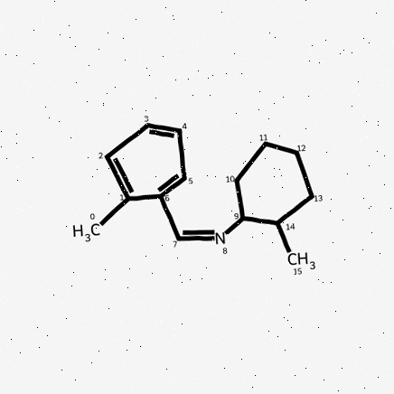 Cc1ccccc1/C=N\C1CCCCC1C